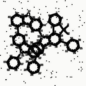 CC1(C)c2ccccc2-c2c1c(-c1ccccc1)cc1c3cc(-c4ccccc4)ccc3n(-c3ccc4oc5cccc(-c6ccc7c(c6)c6ccccc6n7-c6ccccc6)c5c4c3)c21